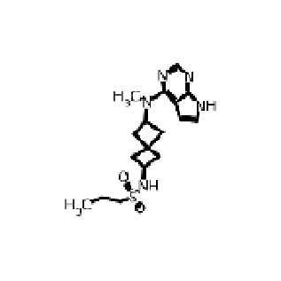 CCCS(=O)(=O)NC1CC2(C1)CC(N(C)c1ncnc3[nH]ccc13)C2